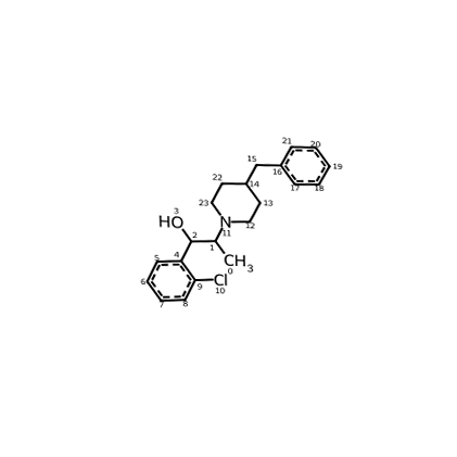 CC(C(O)c1ccccc1Cl)N1CCC(Cc2ccccc2)CC1